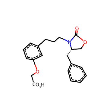 O=C(O)COc1cccc(CCCN2C(=O)OC[C@@H]2Cc2ccccc2)c1